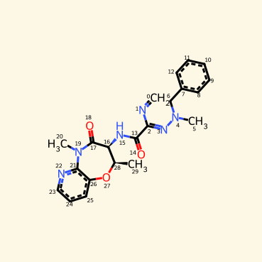 C=N/C(=N\N(C)Cc1ccccc1)C(=O)N[C@@H]1C(=O)N(C)c2ncccc2O[C@@H]1C